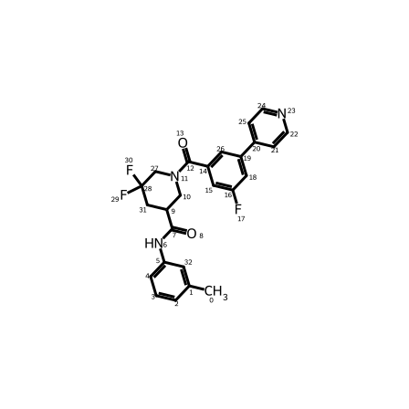 Cc1cccc(NC(=O)C2CN(C(=O)c3cc(F)cc(-c4ccncc4)c3)CC(F)(F)C2)c1